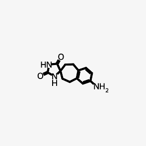 Nc1ccc2c(c1)CCC1(CC2)NC(=O)NC1=O